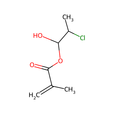 C=C(C)C(=O)OC(O)C(C)Cl